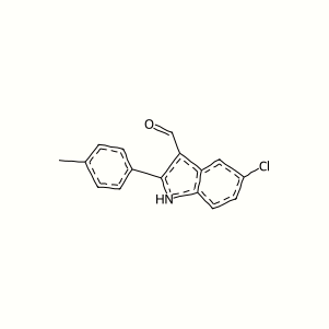 Cc1ccc(-c2[nH]c3ccc(Cl)cc3c2C=O)cc1